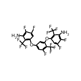 Nc1c(F)c(F)cc(Oc2cc(F)c(C(F)(F)F)c(Oc3cc(F)c(F)c(N)c3C(F)(F)F)c2)c1C(F)(F)F